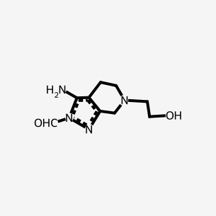 Nc1c2c(nn1C=O)CN(CCO)CC2